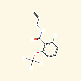 C=CCNC(=O)c1c(Cl)cccc1OC(CC)(CC)CC